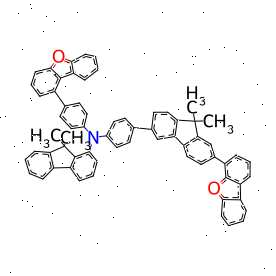 CC1(C)c2ccc(-c3ccc(N(c4ccc(-c5cccc6oc7ccccc7c56)cc4)c4cccc5c4C(C)(C)c4ccccc4-5)cc3)cc2-c2ccc(-c3cccc4c3oc3ccccc34)cc21